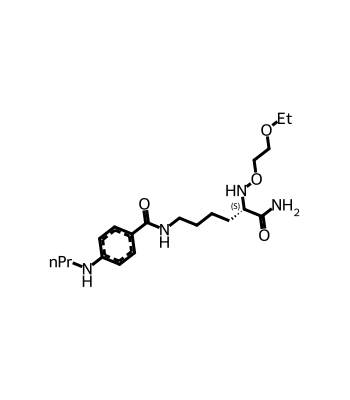 CCCNc1ccc(C(=O)NCCCC[C@H](NOCCOCC)C(N)=O)cc1